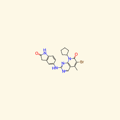 Cc1c(Br)c(=O)n(C2CCCC2)c2nc(Nc3ccc4c(c3)CC(=O)N4)ncc12